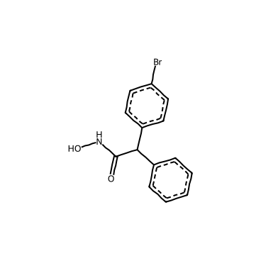 O=C(NO)C(c1ccccc1)c1ccc(Br)cc1